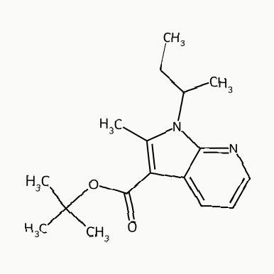 CCC(C)n1c(C)c(C(=O)OC(C)(C)C)c2cccnc21